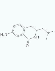 CN(C)CC1Cc2ccc(N)cc2C(=O)N1